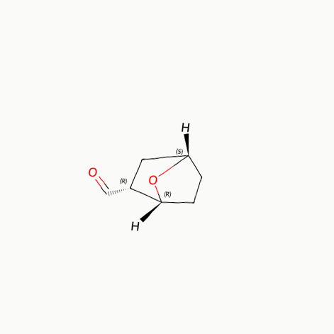 O=C[C@@H]1C[C@@H]2CC[C@H]1O2